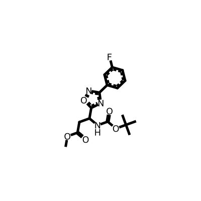 COC(=O)CC(NC(=O)OC(C)(C)C)c1nc(-c2cccc(F)c2)no1